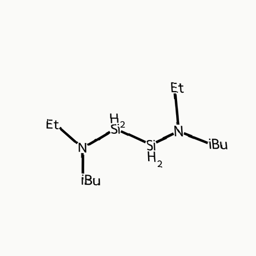 CCC(C)N(CC)[SiH2][SiH2]N(CC)C(C)CC